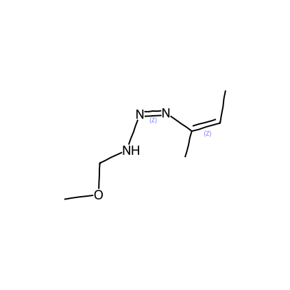 C/C=C(C)\N=N/NCOC